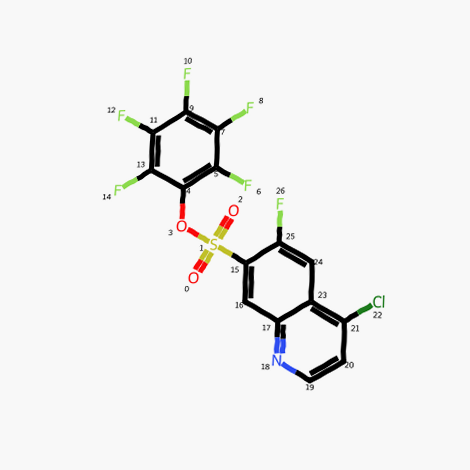 O=S(=O)(Oc1c(F)c(F)c(F)c(F)c1F)c1cc2nccc(Cl)c2cc1F